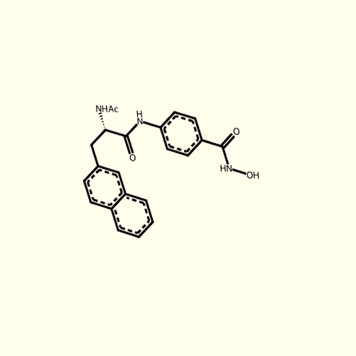 CC(=O)N[C@@H](Cc1ccc2ccccc2c1)C(=O)Nc1ccc(C(=O)NO)cc1